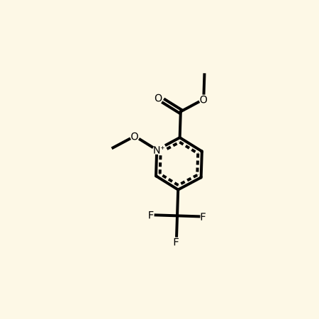 COC(=O)c1ccc(C(F)(F)F)c[n+]1OC